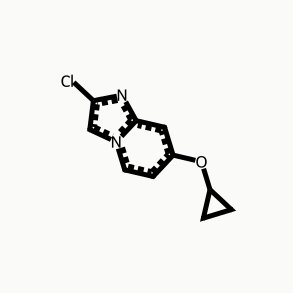 Clc1cn2ccc(OC3CC3)cc2n1